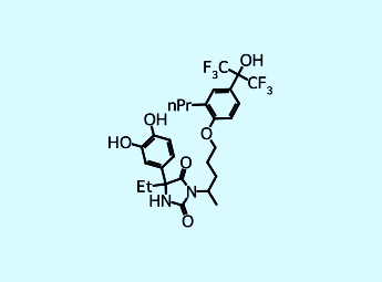 CCCc1cc(C(O)(C(F)(F)F)C(F)(F)F)ccc1OCCCC(C)N1C(=O)NC(CC)(c2ccc(O)c(O)c2)C1=O